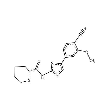 COc1cc(-c2cnc(NC(=O)[C@H]3CCCCO3)s2)ccc1C#N